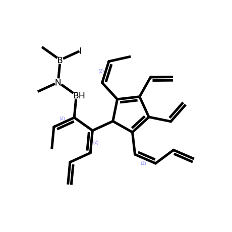 C=C/C=C\C1=C(C=C)C(C=C)=C(/C=C\C)C1C(=C/C=C)/C(BN(C)B(C)I)=C\C